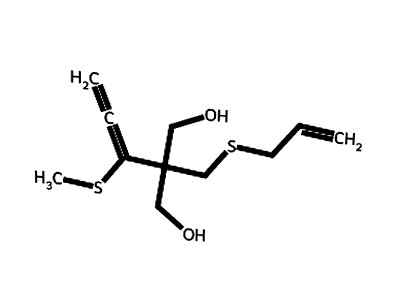 C=C=C(SC)C(CO)(CO)CSCC=C